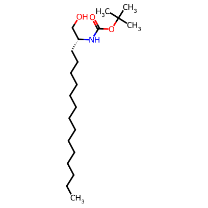 CCCCCCCCCCCCCC[C@H](CO)NC(=O)OC(C)(C)C